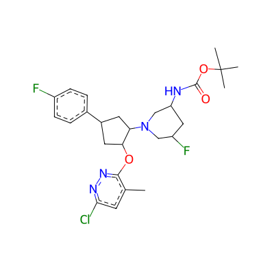 Cc1cc(Cl)nnc1OC1CC(c2ccc(F)cc2)CC1N1CC(F)CC(NC(=O)OC(C)(C)C)C1